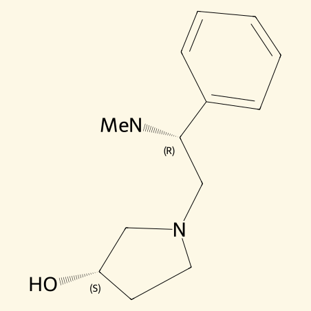 CN[C@@H](CN1CC[C@H](O)C1)c1ccccc1